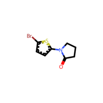 O=C1CCCN1c1ccc(Br)s1